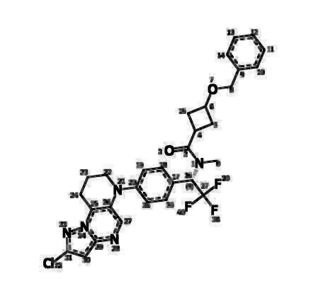 CN(C(=O)C1CC(OCc2ccccc2)C1)[C@@H](c1ccc(N2CCCc3c2cnc2cc(Cl)nn32)cc1)C(F)(F)F